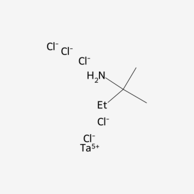 CCC(C)(C)N.[Cl-].[Cl-].[Cl-].[Cl-].[Cl-].[Ta+5]